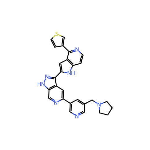 c1cc2[nH]c(-c3n[nH]c4cnc(-c5cncc(CN6CCCC6)c5)cc34)cc2c(-c2ccsc2)n1